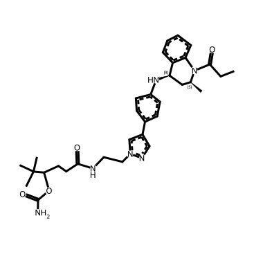 CCC(=O)N1c2ccccc2[C@H](Nc2ccc(-c3cnn(CCNC(=O)CCC(OC(N)=O)C(C)(C)C)c3)cc2)C[C@@H]1C